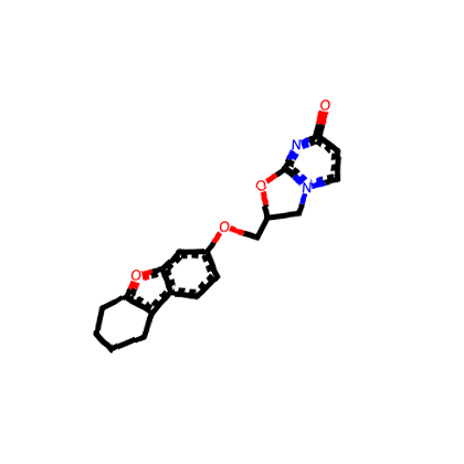 O=c1ccn2c(n1)OC(COc1ccc3c4c(oc3c1)CCCC4)C2